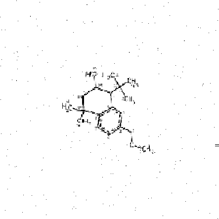 COCc1ccc2c(c1)C(C(C)(C)C)C(O)CC2(C)C